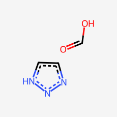 O=CO.c1c[nH]nn1